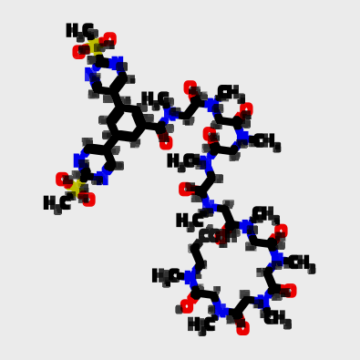 CN(CCC(=O)O)C(=O)CN(C)C(=O)CN(C)C(=O)CN(C)C(=O)CN(C)C(=O)CN(C)C(=O)CN(C)C(=O)CN(C)C(=O)CN(C)C(=O)CN(C)C(=O)c1cc(-c2cnc(S(C)(=O)=O)nc2)cc(-c2cnc(S(C)(=O)=O)nc2)c1